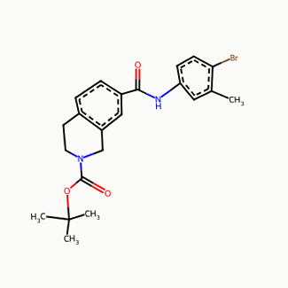 Cc1cc(NC(=O)c2ccc3c(c2)CN(C(=O)OC(C)(C)C)CC3)ccc1Br